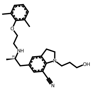 Cc1cccc(C)c1OCCN[C@H](C)Cc1cc(C#N)c2c(c1)CCN2CCCO